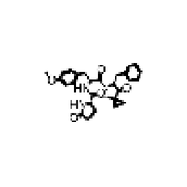 COc1ccc(C[C@H](NC(=O)[C@@H]2CCC(=O)N2)C(=O)N[C@@H](Cc2ccccc2)C(=O)C2(C)CC2)cc1